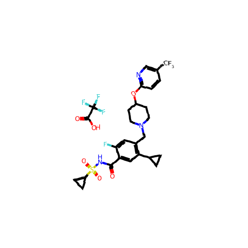 O=C(NS(=O)(=O)C1CC1)c1cc(C2CC2)c(CN2CCC(Oc3ccc(C(F)(F)F)cn3)CC2)cc1F.O=C(O)C(F)(F)F